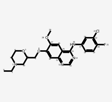 CCN1CCOC(COc2cc3ncnc(Nc4ccc(F)c(Cl)c4)c3cc2OC)C1